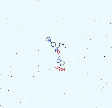 CC/C(=N\OCCn1ccc2c(C(=O)O)cccc21)c1ccc(-n2cccn2)cc1